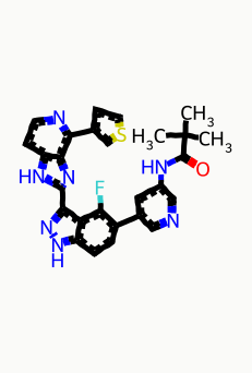 CC(C)(C)C(=O)Nc1cncc(-c2ccc3[nH]nc(-c4nc5c(-c6ccsc6)nccc5[nH]4)c3c2F)c1